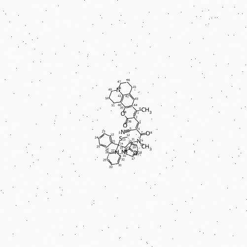 Cc1c(/C=C(\C#N)C(=O)N(C)[C@@H](CSC(c2ccccc2)(c2ccccc2)c2ccccc2)C(N)=O)c(=O)oc2c3c4c(cc12)CCCN4CCC3